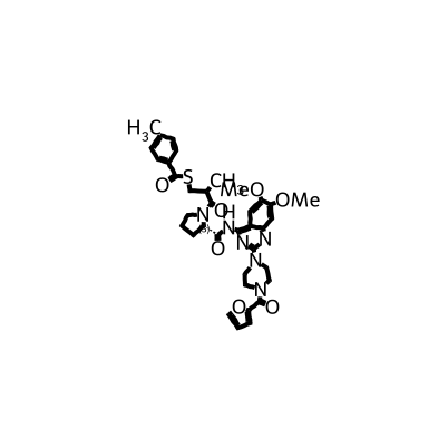 COc1cc2nc(N3CCN(C(=O)c4ccco4)CC3)nc(NC(=O)[C@@H]3CCCN3C(=O)C(C)CSC(=O)c3ccc(C)cc3)c2cc1OC